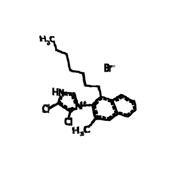 CCCCCCCc1c(-[n+]2c[nH]c(Cl)c2Cl)c(C)cc2ccccc12.[Br-]